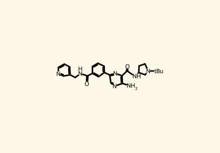 CC(C)(C)N1CC[C@H](NC(=O)c2nc(-c3cccc(C(=O)NCc4cccnc4)c3)cnc2N)C1